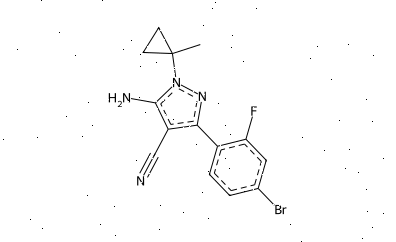 CC1(n2nc(-c3ccc(Br)cc3F)c(C#N)c2N)CC1